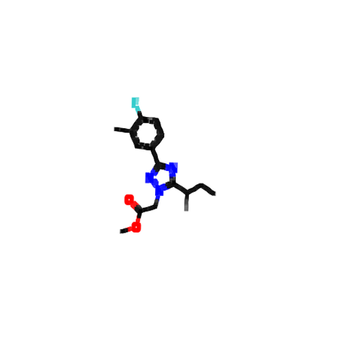 CCC(C)c1nc(-c2ccc(F)c(C)c2)nn1CC(=O)OC